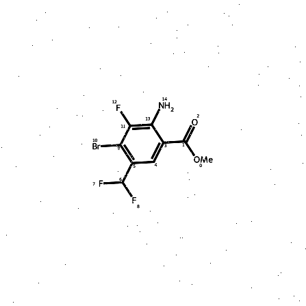 COC(=O)c1cc(C(F)F)c(Br)c(F)c1N